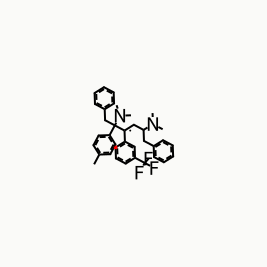 Cc1ccc(C(Cc2ccccc2)([C](CC(Cc2ccccc2)N(C)C)c2cccc(C(F)(F)F)c2)N(C)C)cc1